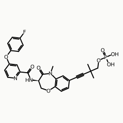 CN1C(=O)[C@H](NC(=O)c2cc(Oc3ccc(F)cc3)ccn2)COc2ccc(C#CC(C)(C)COP(=O)(O)O)cc21